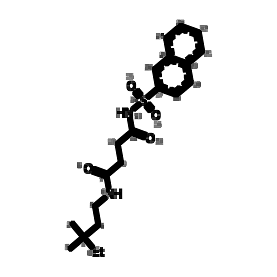 CCC(C)(C)CCNC(=O)CCC(=O)NS(=O)(=O)c1ccc2ccccc2c1